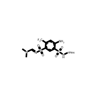 CCCCCCNS(=O)(=O)c1cc(S(=O)(=O)/N=C/N(C)C)c(C(F)(F)F)cc1N